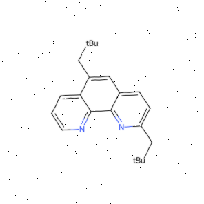 CC(C)(C)Cc1ccc2cc(CC(C)(C)C)c3cccnc3c2n1